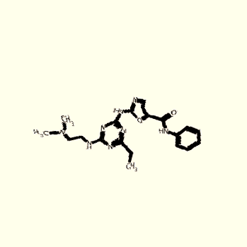 CCc1nc(NCCN(C)C)nc(Nc2ncc(C(=O)Nc3ccccc3)o2)n1